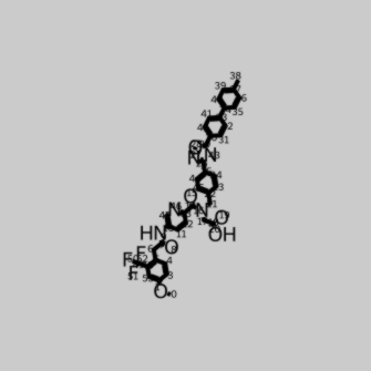 COc1ccc(CC(=O)Nc2ccc(C(=O)N(CC(=O)O)Cc3ccc(-c4noc(-c5ccc(-c6ccc(C)cc6)cc5)n4)cc3)nc2)c(C(F)(F)F)c1